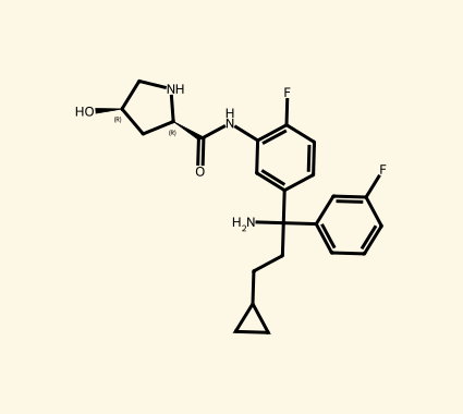 NC(CCC1CC1)(c1cccc(F)c1)c1ccc(F)c(NC(=O)[C@H]2C[C@@H](O)CN2)c1